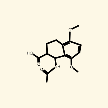 COc1ccc(OC)c2c1CCC(C(=O)O)C2NC(C)=O